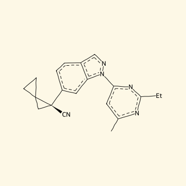 CCc1nc(C)cc(-n2ncc3ccc([C@]4(C#N)CC45CC5)cc32)n1